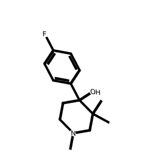 CN1CCC(O)(c2ccc(F)cc2)C(C)(C)C1